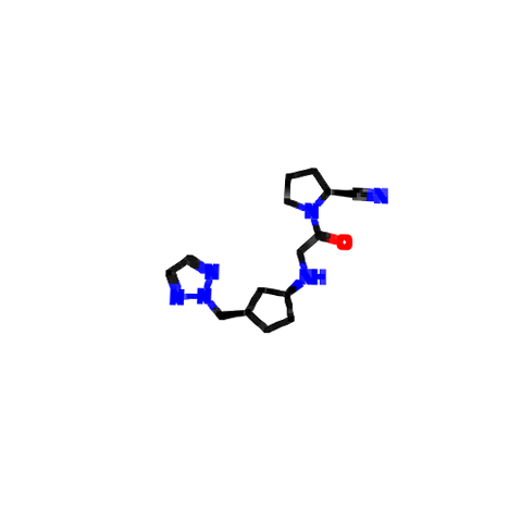 N#C[C@@H]1CCCN1C(=O)CN[C@H]1CC[C@@H](Cn2nccn2)C1